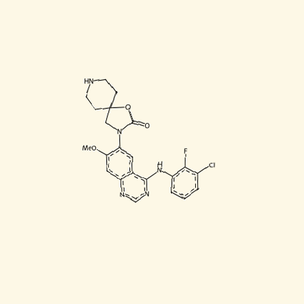 COc1cc2ncnc(Nc3cccc(Cl)c3F)c2cc1N1CC2(CCNCC2)OC1=O